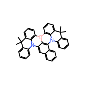 CC1(C)c2ccccc2N2c3cc4ccccc4c4c3B(c3cccc1c32)c1cccc2c1N4c1ccccc1C2(C)C